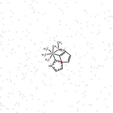 C[SiH](C)[Zr]([CH3])([CH3])([CH3])([CH3])([C]1=CC=CC1)[c]1ccc[nH]1